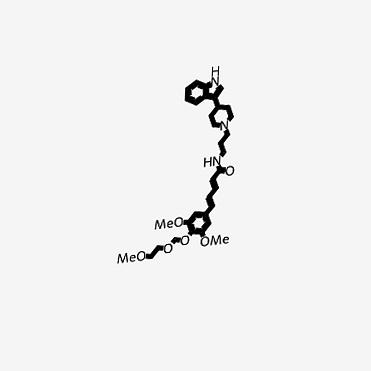 COCCOCOc1c(OC)cc(C=CC=CC(=O)NCCCN2CCC(c3c[nH]c4ccccc34)CC2)cc1OC